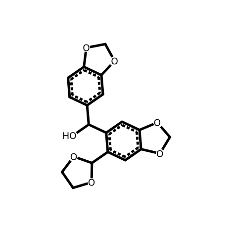 OC(c1ccc2c(c1)OCO2)c1cc2c(cc1C1OCCO1)OCO2